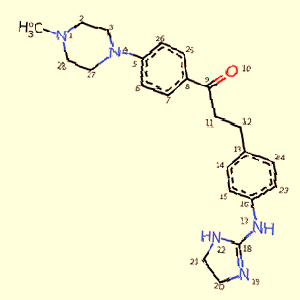 CN1CCN(c2ccc(C(=O)CCc3ccc(NC4=NCCN4)cc3)cc2)CC1